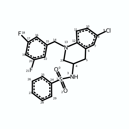 O=S(=O)(NC1Cc2cc(Cl)ccc2N(Cc2cc(F)cc(F)c2)C1)c1ccccc1